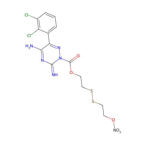 N=c1nc(N)c(-c2cccc(Cl)c2Cl)nn1C(=O)OCCSSCCO[N+](=O)[O-]